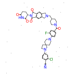 N#Cc1ccc(N2CCC3(CCN(c4ccc(C(=O)N5CCC(CN6Cc7cc8c(cc7C6)C(=O)N(C6CCC(=O)NC6=O)C8=O)CC5)cc4F)CC3)C2)cc1Cl